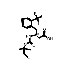 CC(C)(CF)OC(=O)N[C@H](CC(=O)O)Cc1ccccc1C(F)(F)F